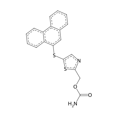 NC(=O)OCc1ncc(Sc2cc3ccccc3c3ccccc23)s1